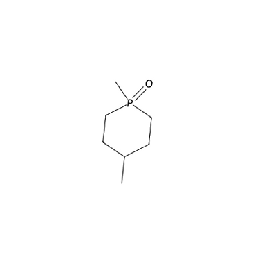 CC1CCP(C)(=O)CC1